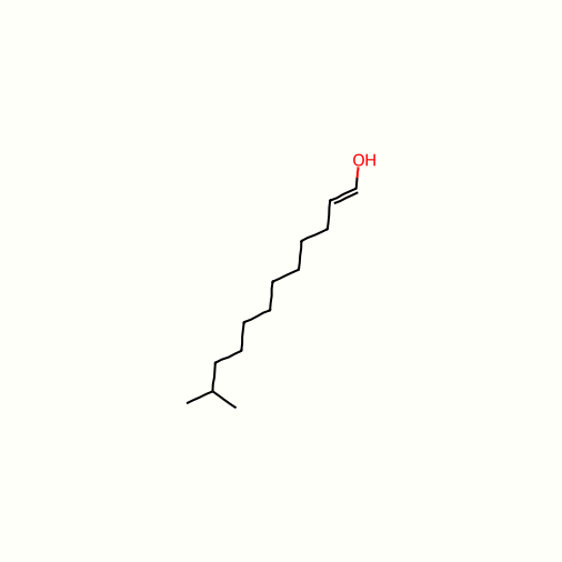 CC(C)CCCCCCCCC=CO